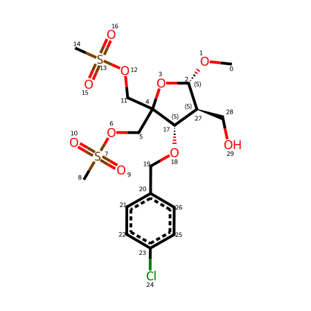 CO[C@H]1OC(COS(C)(=O)=O)(COS(C)(=O)=O)[C@@H](OCc2ccc(Cl)cc2)[C@@H]1CO